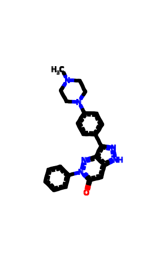 CN1CCN(c2ccc(-c3n[nH]c4cc(=O)n(-c5ccccc5)nc34)cc2)CC1